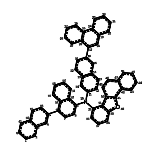 c1ccc2cc(-c3ccc(N(c4ccc5cc(-c6cc7ccccc7c7ccccc67)ccc5c4)c4cccc5oc6c7ccccc7ccc6c45)c4ccccc34)ccc2c1